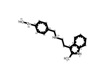 Cc1[nH]c2ccccc2c1CCNCc1cc[c]([Zn][OH])cc1